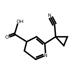 N#CC1(C2=CC(C(=O)O)CC=N2)CC1